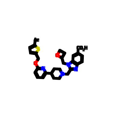 CC(=O)c1ccc(COc2cccc(C3CCN(Cc4nc5ccc(C(=O)O)cc5n4CC4CCO4)CC3)n2)s1